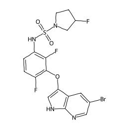 O=S(=O)(Nc1ccc(F)c(Oc2c[nH]c3ncc(Br)cc23)c1F)N1CCC(F)C1